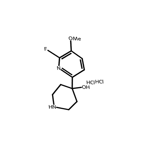 COc1ccc(C2(O)CCNCC2)nc1F.Cl.Cl